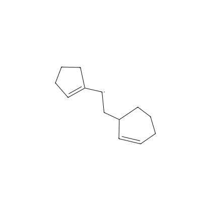 [CH](CC1C=CCCC1)C1=CCCC1